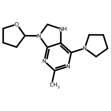 Cc1nc(N2CCCC2)c2c(n1)N(C1CCCO1)CN2